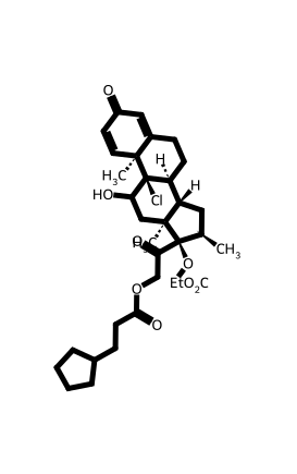 CCOC(=O)O[C@]1(C(=O)COC(=O)CCC2CCCC2)[C@H](C)C[C@H]2[C@@H]3CCC4=CC(=O)C=C[C@]4(C)[C@@]3(Cl)C(O)C[C@@]21C